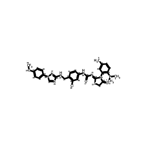 Cc1ccc(P(C)C)c(N2C(=O)CS/C2=N\C(=O)Nc2ccc(CNc3ncn(-c4ccc(OC(F)(F)F)cc4)n3)c(Cl)c2)c1